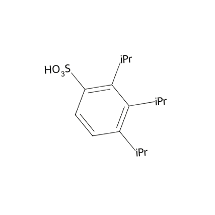 CC(C)c1ccc(S(=O)(=O)O)c(C(C)C)c1C(C)C